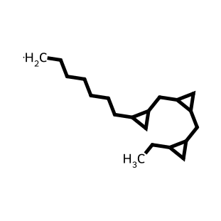 [CH2]CCCCCCC1CC1CC1CC1CC1CC1CC